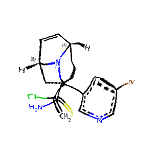 C=C(Cl)CN1[C@@H]2C=C[C@H]1CC(C(N)=S)(c1cncc(Br)c1)C2